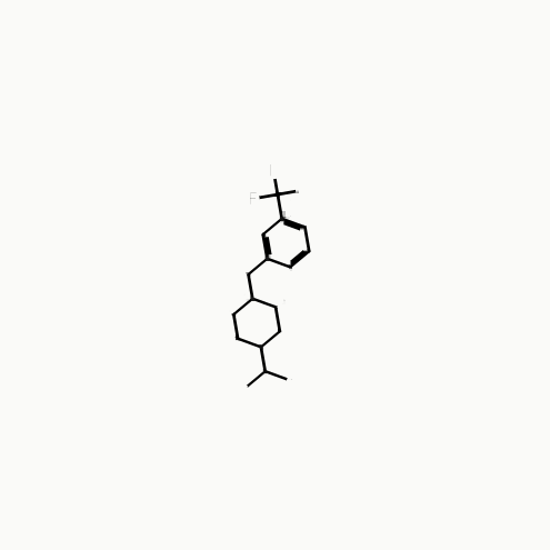 CC(C)C1CCC(Cc2cccc(C(F)(F)F)c2)CC1